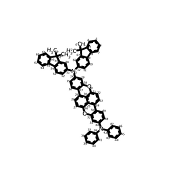 CC1(C)c2ccccc2-c2ccc(N(c3ccc4c(c3)Oc3ccc5c6c(ccc-4c36)Oc3cc(N(c4ccccc4)c4ccccc4)ccc3-5)c3ccc4c(c3)C(C)(C)c3ccccc3-4)cc21